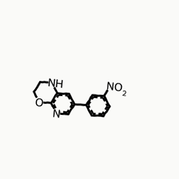 O=[N+]([O-])c1cccc(-c2cnc3c(c2)NCCO3)c1